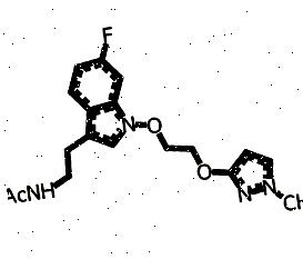 CC(=O)NCCc1cn(OCCOc2ccn(C)n2)c2cc(F)ccc12